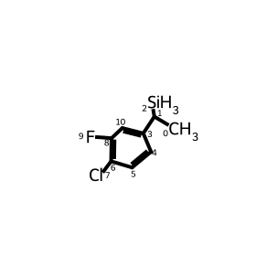 CC([SiH3])c1ccc(Cl)c(F)c1